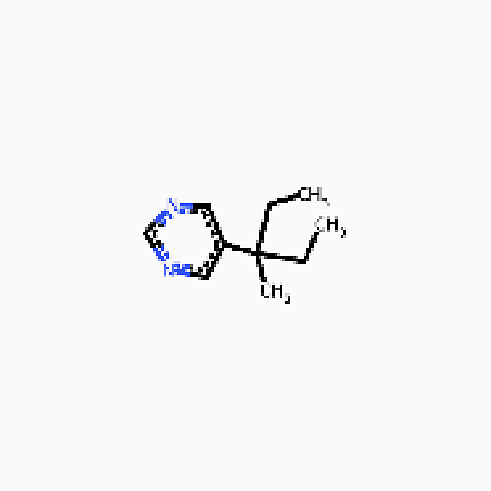 CCC(C)(CC)c1cncnc1